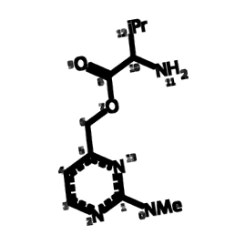 CNc1nccc(COC(=O)C(N)C(C)C)n1